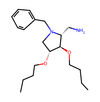 CCCCO[C@@H]1[C@@H](CN)N(Cc2ccccc2)C[C@H]1OCCCC